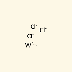 [Cl-].[Cl-].[Cl-].[W+3]